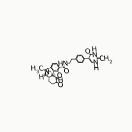 C=C1NC=C(c2ccc(CCNC(=O)c3ccc4c5c3O[C@H]3C(=O)CCC6[C@@H](C4)N(C)CC[C@@]563)cc2)C(=O)N1